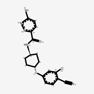 N#Cc1ccc(O[C@H]2CC[C@H](NC(=O)c3ccc(S)nn3)CC2)cc1Cl